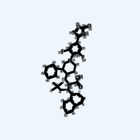 CC(C)(C)C[C@H](c1cccc2ccccc12)N(CC1CCN(c2c(F)cc(-c3noc(=O)[nH]3)cc2F)CC1c1ccccc1)C(=O)O